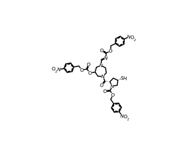 O=C(N=CN1CCN(C(=O)[C@@H]2C[C@H](S)CN2C(=O)OCc2ccc([N+](=O)[O-])cc2)CC(OC(=O)OCc2ccc([N+](=O)[O-])cc2)C1)OCc1ccc([N+](=O)[O-])cc1